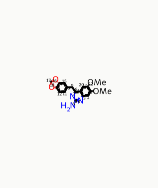 COc1cc2nc(N)nc(Cc3ccc4c(c3)OCO4)c2cc1OC